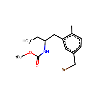 Cc1ccc(CBr)cc1CC(CC(=O)O)NC(=O)OC(C)(C)C